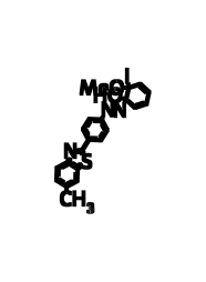 COC1(I)C=CC=CC1(O)N=Nc1ccc(-c2nc3ccc(C)cc3s2)cc1